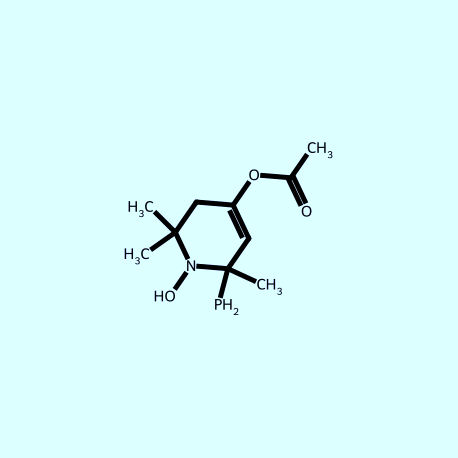 CC(=O)OC1=CC(C)(P)N(O)C(C)(C)C1